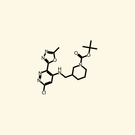 Cc1nnc(-c2nnc(Cl)cc2NCC2CCCN(C(=O)OC(C)(C)C)C2)o1